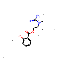 CN(CCOC(=O)c1ccccc1O)C(=N)N